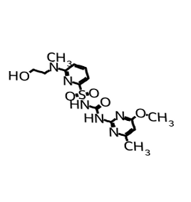 COc1cc(C)nc(NC(=O)NS(=O)(=O)c2cccc(N(C)CCO)n2)n1